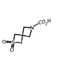 O=C(O)N1CC2(C1)CS(=O)(=O)C2